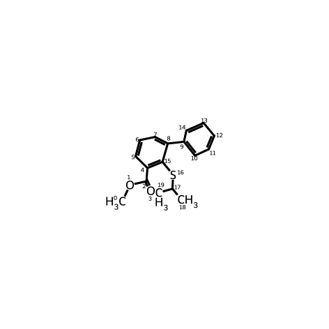 COC(=O)c1cccc(-c2ccccc2)c1SC(C)C